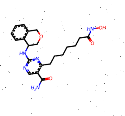 NC(=O)c1cnc(NC2COCc3ccccc32)nc1CCCCCCC(=O)NO